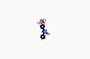 CCS(=O)(=O)Nc1ccc(C2=NN(C(C)=O)C(c3ccccc3)C2)cc1